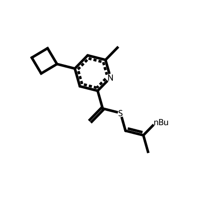 C=C(S/C=C(/C)CCCC)c1cc(C2CCC2)cc(C)n1